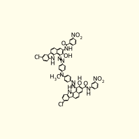 CN(c1ccc(N=Nc2c(O)c(NC(=O)c3cccc([N+](=O)[O-])c3)cc3ccc4c5cc(Cl)ccc5[nH]c4c23)cc1)c1ccc(N=Nc2c(O)c(C(=O)Nc3cccc([N+](=O)[O-])c3)cc3ccc4c5cc(Cl)ccc5[nH]c4c23)cc1